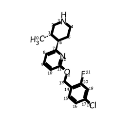 C[C@@H]1CNCC[C@H]1c1cccc(OCc2ccc(Cl)cc2F)n1